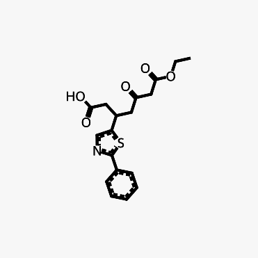 CCOC(=O)CC(=O)CC(CC(=O)O)c1cnc(-c2ccccc2)s1